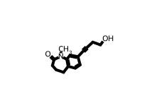 CN1C(=O)CCCc2ccc(C#CCCO)cc21